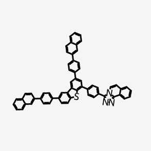 c1ccc2cc(-c3ccc(-c4ccc5sc6c(-c7ccc(-c8nnc9c%10ccccc%10ccn89)cc7)cc(-c7ccc(-c8ccc9ccccc9c8)cc7)cc6c5c4)cc3)ccc2c1